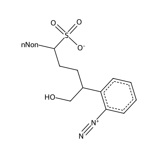 CCCCCCCCCC(CCC(CO)c1ccccc1[N+]#N)S(=O)(=O)[O-]